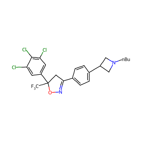 CCCCN1CC(c2ccc(C3=NOC(c4cc(Cl)c(Cl)c(Cl)c4)(C(F)(F)F)C3)cc2)C1